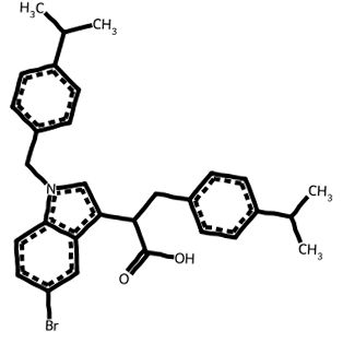 CC(C)c1ccc(CC(C(=O)O)c2cn(Cc3ccc(C(C)C)cc3)c3ccc(Br)cc23)cc1